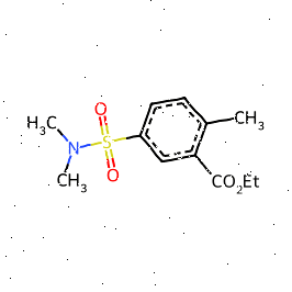 CCOC(=O)c1cc(S(=O)(=O)N(C)C)ccc1C